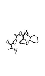 CC(OC(=O)C(C)N(C)C)OC(=O)N(C)C1CCCCC1=O